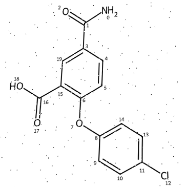 NC(=O)c1ccc(Oc2ccc(Cl)cc2)c(C(=O)O)c1